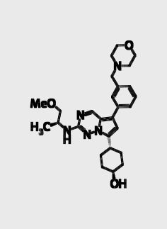 COC[C@H](C)Nc1ncc2c(-c3cccc(CN4CCOCC4)c3)cc([C@H]3CC[C@H](O)CC3)n2n1